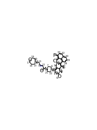 COc1nc(N2CCN(C(=O)/C=C/CN3CCCOCC3)CC2)c2cnc(-c3cccc4ccc(F)c(Cl)c34)c(F)c2n1